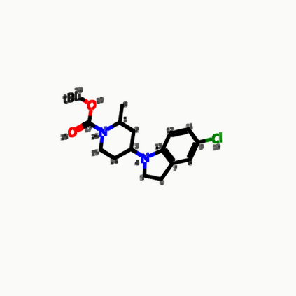 CC1CC(N2CCc3cc(Cl)ccc32)CCN1C(=O)OC(C)(C)C